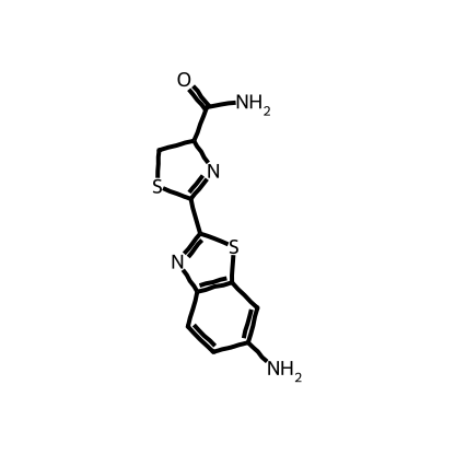 NC(=O)C1CSC(c2nc3ccc(N)cc3s2)=N1